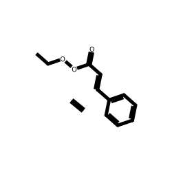 C=C.CCOOC(=O)C=Cc1ccccc1